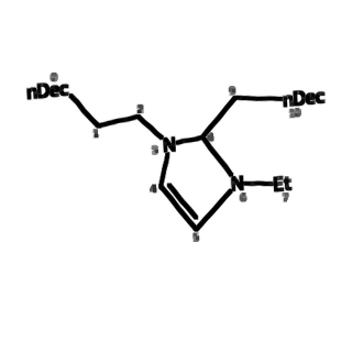 CCCCCCCCCCCCN1C=CN(CC)C1CCCCCCCCCCC